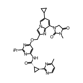 Cc1ccnc([C@H]2C[C@@H]2C(=O)Nc2cc(OCc3cn4cc(C5CC5)cc(N5CC(=O)N(C)C5=O)c4n3)nc(C(C)C)n2)n1